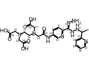 CC(NN/C(=N\N)c1ccc(NC(=O)CN(CCN(CC(=O)O)CC(=O)O)CC(=O)O)cn1)c1ccccn1